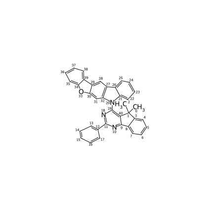 CC1(C)c2ccccc2-c2nc(-c3ccccc3)nc(-n3c4ccccc4c4cc5c(cc43)oc3ccccc35)c21